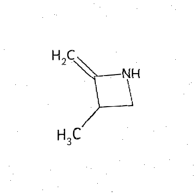 C=C1NCC1C